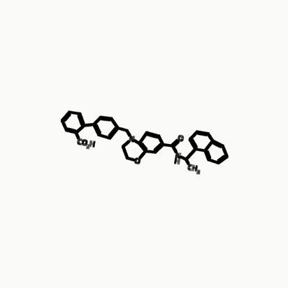 CC(NC(=O)c1ccc2c(c1)OCCN2Cc1ccc(-c2ccccc2C(=O)O)cc1)c1cccc2ccccc12